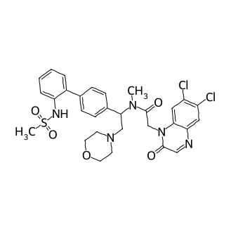 CN(C(=O)Cn1c(=O)cnc2cc(Cl)c(Cl)cc21)C(CN1CCOCC1)c1ccc(-c2ccccc2NS(C)(=O)=O)cc1